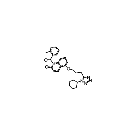 Cc1ccccc1C(=O)n1c(=O)ccc2c(OCCCc3nnnn3C3CCCCC3)cccc21